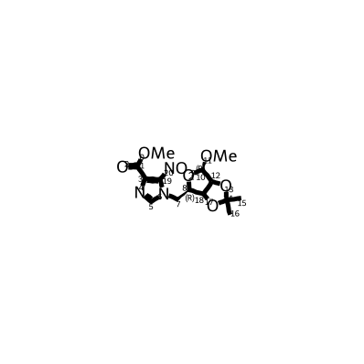 COC(=O)c1ncn(C[C@H]2O[C@@H](OC)C3OC(C)(C)OC32)c1[N+](=O)[O-]